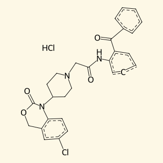 Cl.O=C(CN1CCC(N2C(=O)OCc3cc(Cl)ccc32)CC1)Nc1ccccc1C(=O)c1ccccc1